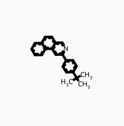 CC(C)(C)c1ccc(-c2cc3c(ccc4ccccc43)cn2)cc1